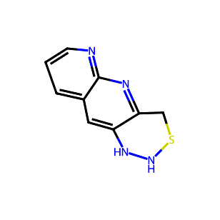 c1cnc2nc3c(cc2c1)NNSC3